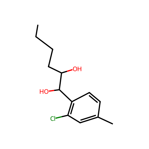 CCCCC(O)C(O)c1ccc(C)cc1Cl